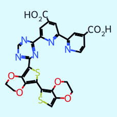 O=C(O)c1ccnc(-c2cc(C(=O)O)cc(-c3ncnc(-c4sc(-c5scc6c5OCCO6)c5c4OCCO5)n3)n2)c1